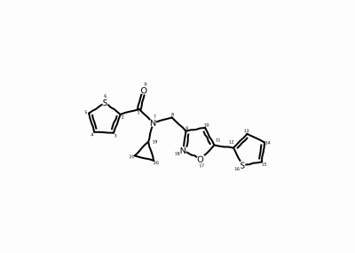 O=C(c1cccs1)N(Cc1cc(-c2cccs2)on1)C1CC1